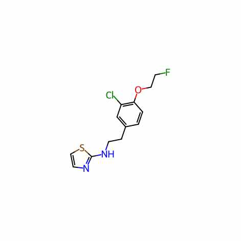 FCCOc1ccc(CCNc2nccs2)cc1Cl